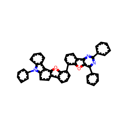 c1ccc(-c2nc(-c3ccccc3)c3oc4c(-c5cccc6c5oc5c6ccc6c5c5ccccc5n6-c5ccccc5)cccc4c3n2)cc1